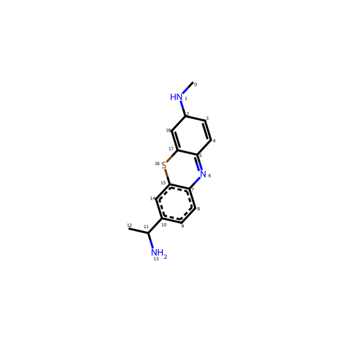 CNC1C=CC2=Nc3ccc(C(C)N)cc3SC2=C1